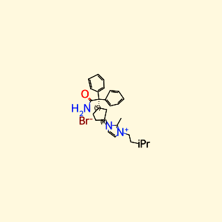 Cc1n([C@@H]2CC[C@H](C(C(N)=O)(c3ccccc3)c3ccccc3)C2)cc[n+]1CCC(C)C.[Br-]